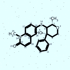 C[C@@H]1OCC[C@@](O)(c2ccccc2)C1Sc1ccc2c(ccc(=O)n2C)c1